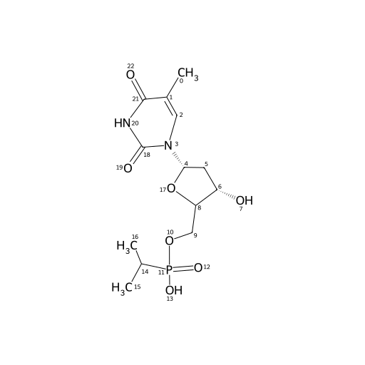 Cc1cn([C@@H]2C[C@H](O)C(COP(=O)(O)C(C)C)O2)c(=O)[nH]c1=O